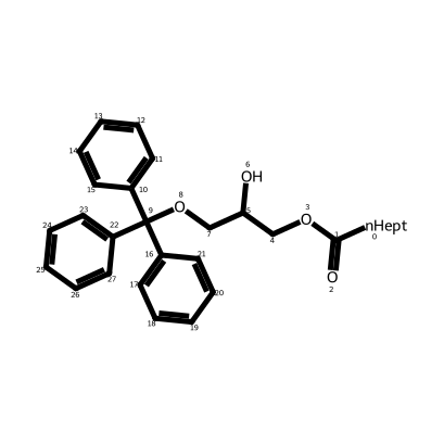 CCCCCCCC(=O)OCC(O)COC(c1ccccc1)(c1ccccc1)c1ccccc1